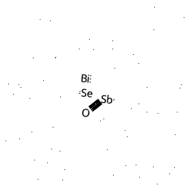 [Bi].[O]=[Sb].[Se]